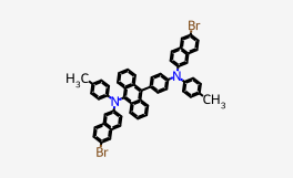 Cc1ccc(N(c2ccc(-c3c4ccccc4c(N(c4ccc(C)cc4)c4ccc5cc(Br)ccc5c4)c4ccccc34)cc2)c2ccc3cc(Br)ccc3c2)cc1